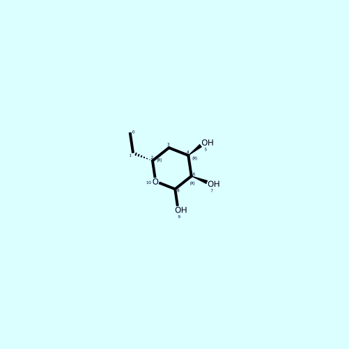 CC[C@@H]1C[C@@H](O)[C@@H](O)C(O)O1